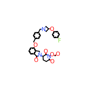 O=CON1C(=O)CCC(N2Cc3c(OCc4ccc(CN5CC(Oc6ccc(F)cc6)C5)cc4)cccc3C2=O)C1=O